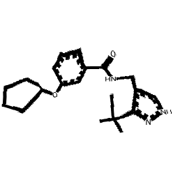 CC(C)(C)c1n[nH]cc1CNC(=O)c1cccc(OC2CCCC2)c1